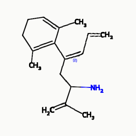 C=C/C=C(/CC(N)C(=C)C)C1=C(C)CCC=C1C